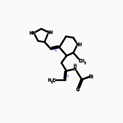 C/C=C(\CC1/C(=C/C2CNCN2)CCNC1C)NC(=O)CC